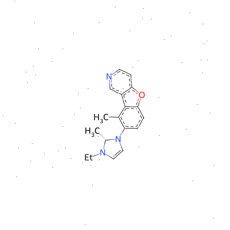 CCN1C=CN(c2ccc3oc4ccncc4c3c2C)[C@H]1C